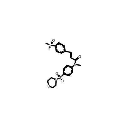 CN(C(=O)/C=C/c1ccc(S(C)(=O)=O)cc1)c1ccc(S(=O)(=O)N2CCOCC2)cc1